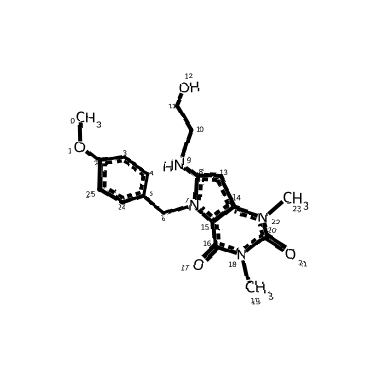 COc1ccc(Cn2c(NCCO)cc3c2c(=O)n(C)c(=O)n3C)cc1